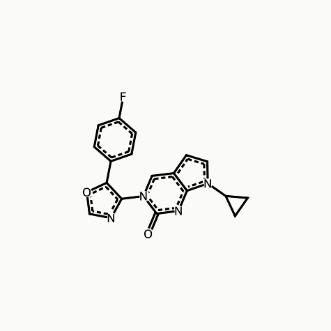 O=c1nc2c(ccn2C2CC2)cn1-c1ncoc1-c1ccc(F)cc1